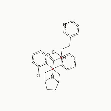 O=C(NCCc1cccnc1)C1CC2CCC(C1)N2C(c1ccccc1Cl)c1ccccc1Cl